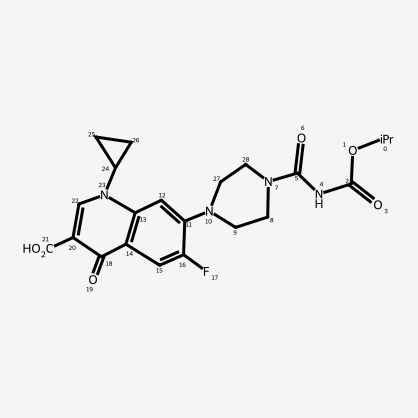 CC(C)OC(=O)NC(=O)N1CCN(c2cc3c(cc2F)c(=O)c(C(=O)O)cn3C2CC2)CC1